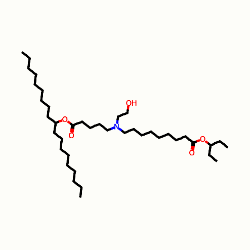 CCCCCCCCCC(CCCCCCCCC)OC(=O)CCCCN(CCO)CCCCCCCCC(=O)OC(CC)CC